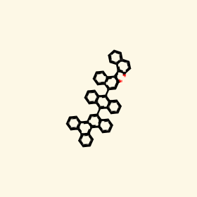 c1ccc2c(c1)ccc1oc3cc(-c4c5ccccc5c(-c5cc6c7ccccc7c7ccccc7c6c6ccccc56)c5ccccc45)c4ccccc4c3c12